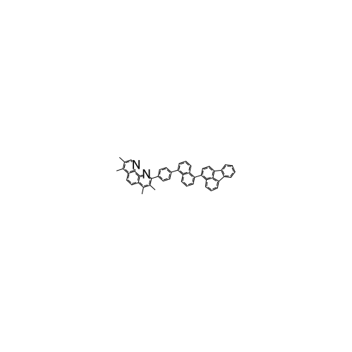 Cc1cnc2c(ccc3c(C)c(C)c(-c4ccc(-c5cccc6c(-c7ccc8c9c(cccc79)-c7ccccc7-8)cccc56)cc4)nc32)c1C